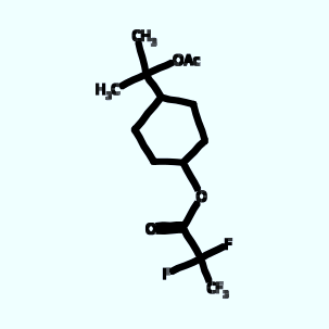 CC(=O)OC(C)(C)C1CCC(OC(=O)C(F)(F)C(F)(F)F)CC1